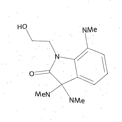 CNc1cccc2c1N(CCO)C(=O)C2(NC)NC